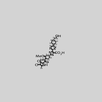 CO[C@H]1CN(c2nc(-c3cnc(N4CCN(CCO)CC4)cn3)c(C(=O)O)s2)CC[C@H]1NC(=O)c1[nH]c(C)c(Cl)c1Cl